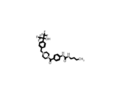 CCCCNC(=O)Nc1ccc(C(=O)N2CCN(Cc3ccc(C(O)(C(F)(F)F)C(F)(F)F)cc3)CC2)cc1